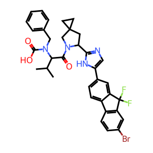 CC(C)C(C(=O)N1CC2(CC2)CC1c1ncc(-c2ccc3c(c2)C(F)(F)c2cc(Br)ccc2-3)[nH]1)N(Cc1ccccc1)C(=O)O